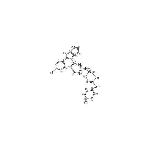 Fc1ccc(-c2nc3sccn3c2-c2ccnc(NC3CCN(Sc4ccc(Cl)cc4)CC3)n2)cc1